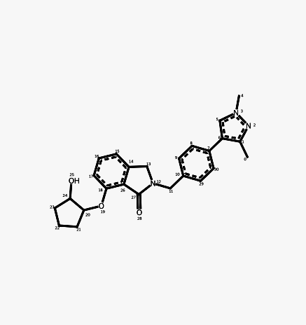 Cc1nn(C)cc1-c1ccc(CN2Cc3cccc(OC4CCCC4O)c3C2=O)cc1